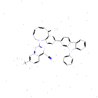 C=C1/C=C\C=C/CN(c2nc(C#N)c3ccc(C(C)(C)C)cc3n2)c2ccc(-c3ccc4c5ccccc5n(-c5ccccc5)c4c3)cc21